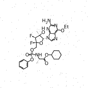 CCOc1nc(N)nc2c1ncn2[C@@H]1O[C@](F)(COP(=O)(N[C@@H](C)C(=O)OC2CCCCC2)Oc2ccccc2)[C@@H](F)[C@@]1(C)O